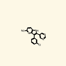 N#Cc1ccc2[nH]c(-c3cncnc3)c(-c3cccc(Cl)c3)c2n1